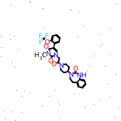 Cn1c(=O)c(-c2ccccc2OC(F)(F)F)cn(CC(=O)N2CCC(N3CCc4ccccc4NC3=O)CC2)c1=O